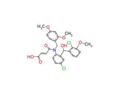 COc1ccc(CN(C(=O)C=CC(=O)O)c2ccc(Cl)cc2C(O)c2cccc(OC)c2Cl)c(OC)c1